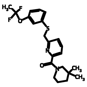 CC1(C)CCCN(C(=O)c2cccc(CSc3cccc(OC(C)(F)F)c3)n2)C1